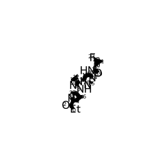 CCC(=O)c1cc(C)c(Nc2nccn2-c2cc(NC(=O)[C@@H]3C[C@@H]3F)ncn2)cn1